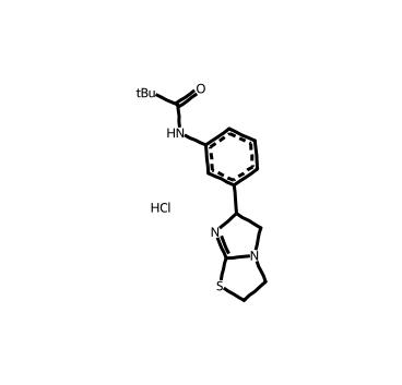 CC(C)(C)C(=O)Nc1cccc(C2CN3CCSC3=N2)c1.Cl